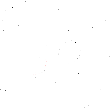 C[C@@H]1CCCC[C@@H]1OC=O